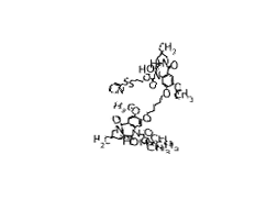 C=C1C[C@H]2[C@H](O)N(C(=O)OCCSSc3ccccn3)c3cc(OCCCCCOc4cc5c(cc4OC)C(=O)N4CC(=C)C[C@H]4[C@H](O)N5C(=O)OC(C)(C)C)c(OC)cc3C(=O)N2C1